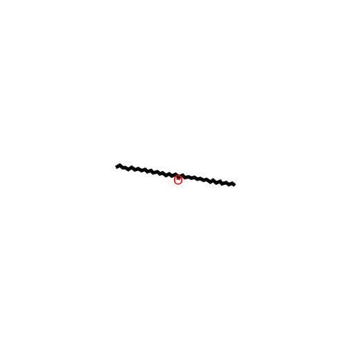 CCCCCCCCCCCCCCCCCCCCC(=O)CCCCCCCCCCCCCCCCCC